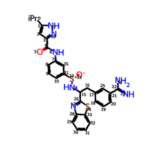 CC(C)c1cc(C(=O)Nc2cccc([S+]([O-])NC(Cc3cccc(C(=N)N)c3)c3nc4ccccc4s3)c2)n[nH]1